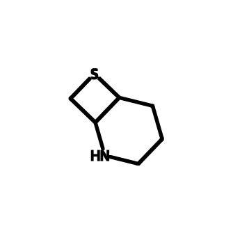 C1CNC2CSC2C1